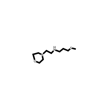 CSCCCNCCN1CCOCC1